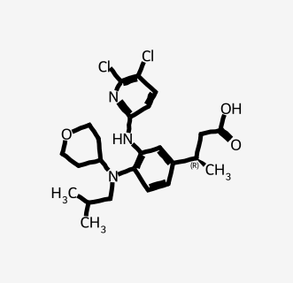 CC(C)CN(c1ccc([C@H](C)CC(=O)O)cc1Nc1ccc(Cl)c(Cl)n1)C1CCOCC1